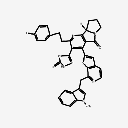 Cn1cc(Cc2nccc3cc(-c4c5c(nc(CCc6ccc(F)cc6)c4-c4n[nH]c(=O)o4)[C@@H]4CCCN4C5=O)sc23)c2ccccc21